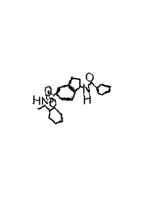 CC(NS(=O)(=O)c1ccc2c(c1)CCC2NC(=O)c1ccccc1)C1CCCCC1